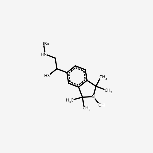 CC(C)(C)NCC(S)c1ccc2c(c1)C(C)(C)N(O)C2(C)C